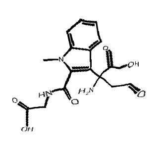 Cn1c(C(=O)NCC(=O)O)c(C(N)(CC=O)C(=O)O)c2ccccc21